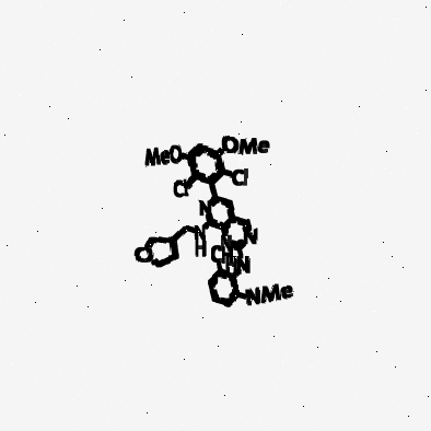 CNc1cccc(C)c1Nc1ncc2cc(-c3c(Cl)c(OC)cc(OC)c3Cl)nc(NCC3CCOC3)c2n1